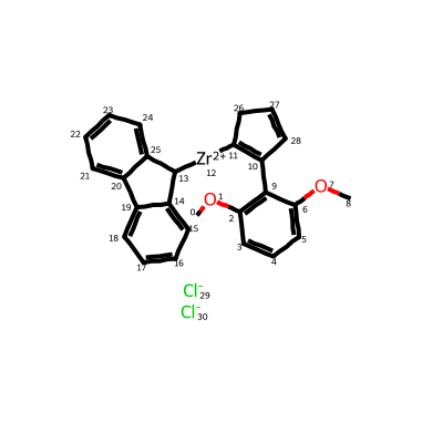 COc1cccc(OC)c1C1=[C]([Zr+2][CH]2c3ccccc3-c3ccccc32)CC=C1.[Cl-].[Cl-]